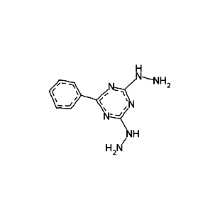 NNc1nc(NN)nc(-c2ccccc2)n1